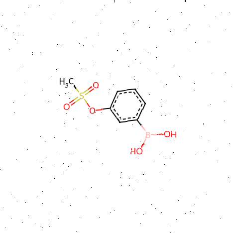 CS(=O)(=O)Oc1cccc(B(O)O)c1